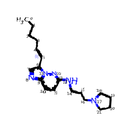 CCCC/C=C/c1cnc2ccc(NCCCN3CCCC3)nn12